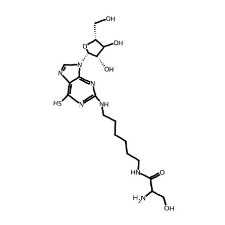 NC(CO)C(=O)NCCCCCCNc1nc(S)c2ncn([C@@H]3O[C@H](CO)C(O)[C@@H]3O)c2n1